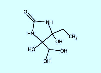 CCC1(O)NC(=O)NC1(O)C(O)O